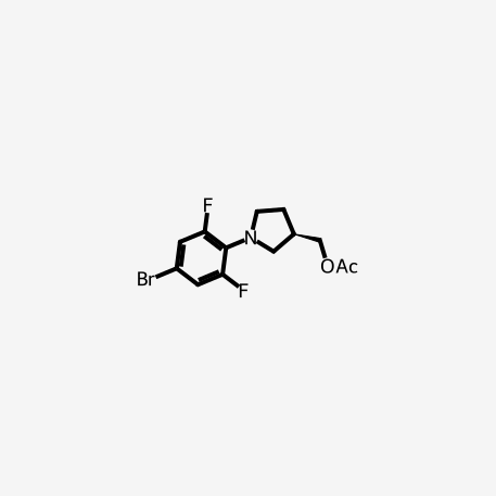 CC(=O)OC[C@@H]1CCN(c2c(F)cc(Br)cc2F)C1